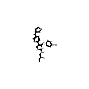 CC[C@H](F)CNc1ncc(-c2ccc(CC3CCOC3)cn2)c(N[C@H]2CC[C@H](O)CC2)n1